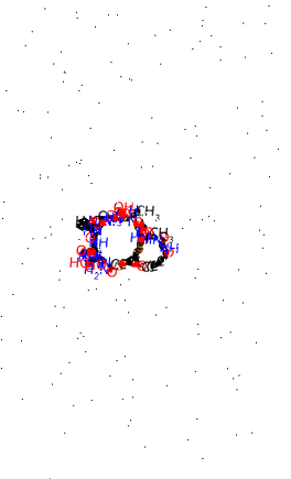 CCCC[C@@H]1NC(=O)[C@@H]2CCCN2C(=O)[C@@H]2CSCc3cc(cc(c3)OCCCCCCC(=O)NCC(=O)N[C@@H](C)C(=O)N2)CSC[C@@H](C(N)=O)NC(=O)[C@H](CCC(=O)O)NC(=O)[C@H](/C=C/C(N)=O)NC(=O)[C@H](Cc2c[nH]c3ccccc23)NC(=O)[C@H](C(C)C)NC(=O)[C@H](CC(=O)O)NC1=O